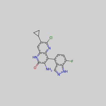 Nc1c(-c2ccc(F)c3[nH]ncc23)c2nc(Cl)c(C3CC3)cc2[nH]c1=O